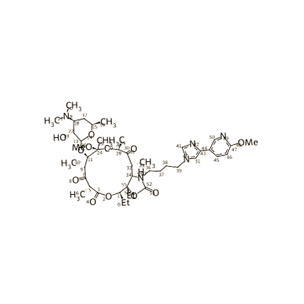 CC[C@H]1OC(=O)[C@H](C)C(=O)[C@H](C)[C@@H](OC2O[C@H](C)C[C@H](N(C)C)[C@H]2O)[C@@](C)(OC)C[C@@H](C)C(=O)[C@H](C)[C@H]2N(CCCCn3cnc(-c4ccc(OC)nc4)c3)C(=O)O[C@]12CC